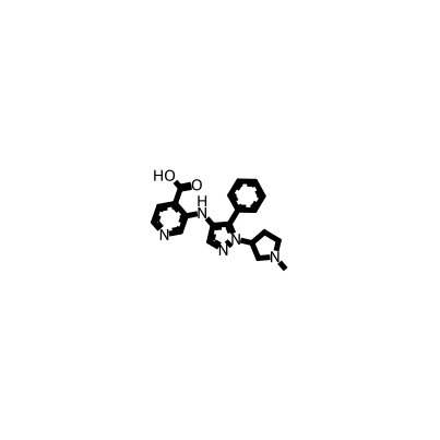 CN1CCC(n2ncc(Nc3cnccc3C(=O)O)c2-c2ccccc2)C1